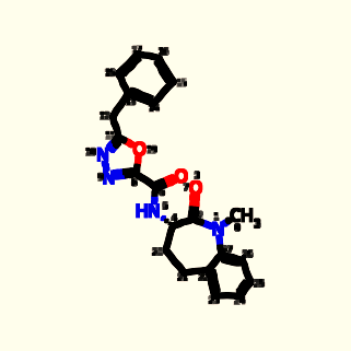 CN1C(=O)[C@@H](NC(=O)c2nnc(Cc3ccccc3)o2)CCc2ccccc21